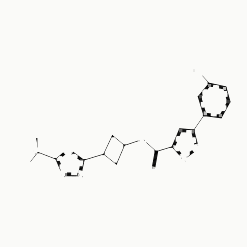 C[C@H](O)c1nnc(C2CC(NC(=O)c3cc(-c4cccc(O)c4)on3)C2)o1